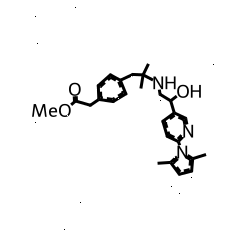 COC(=O)Cc1ccc(CC(C)(C)NCC(O)c2ccc(-n3c(C)ccc3C)nc2)cc1